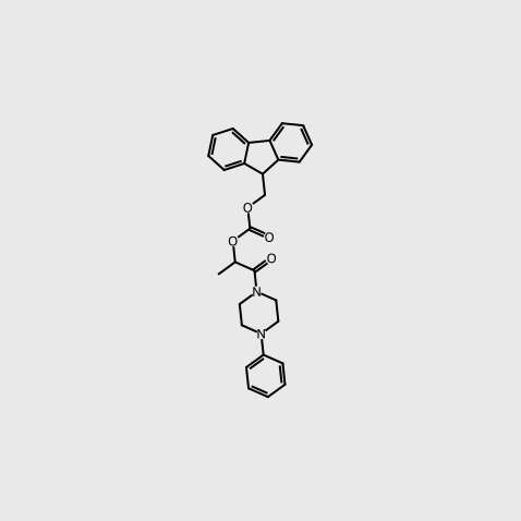 CC(OC(=O)OCC1c2ccccc2-c2ccccc21)C(=O)N1CCN(c2ccccc2)CC1